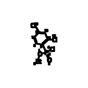 CCOP(=O)(Cl)c1ccc(Cl)cc1Cl